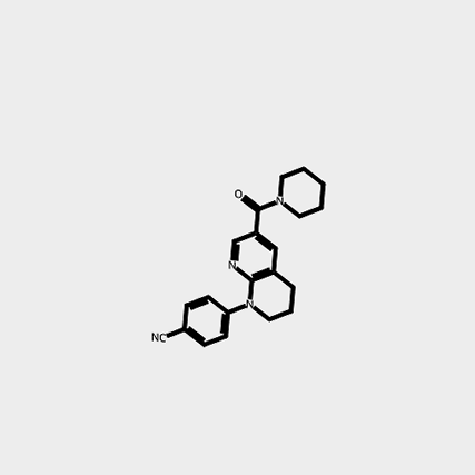 N#Cc1ccc(N2CCCc3cc(C(=O)N4CCCCC4)cnc32)cc1